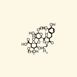 CCOC(=O)C(Cc1ccc(O)c(O)c1)NC(=O)[C@@H]1O[C@@H](OC)C(O)C(O)[C@@H]1O[C@@H]1OC(C(=O)O)[C@@H](OC)[C@H](O)C1O